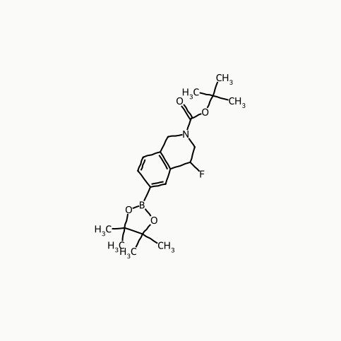 CC(C)(C)OC(=O)N1Cc2ccc(B3OC(C)(C)C(C)(C)O3)cc2C(F)C1